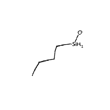 CCCC[SiH2][O]